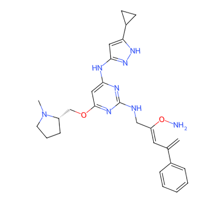 C=C(/C=C(/CNc1nc(Nc2cc(C3CC3)[nH]n2)cc(OC[C@@H]2CCCN2C)n1)ON)c1ccccc1